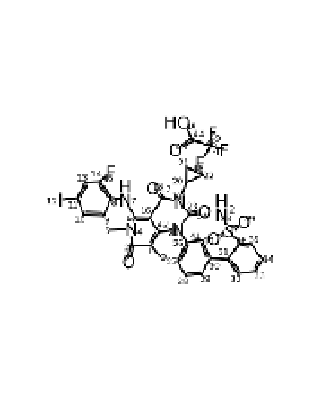 Cc1c(=O)n(C)c(Nc2ccc(I)cc2F)c2c(=O)n(C3CC3)c(=O)n(-c3cccc(-c4ccccc4S(N)(=O)=O)c3)c12.O=C(O)C(F)(F)F